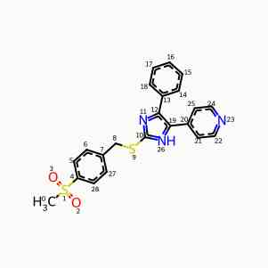 CS(=O)(=O)c1ccc(CSc2nc(-c3ccccc3)c(-c3ccncc3)[nH]2)cc1